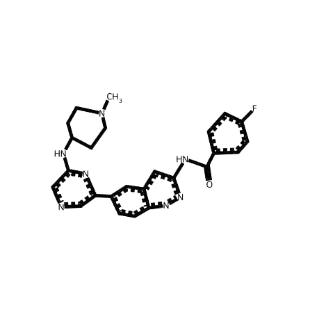 CN1CCC(Nc2cncc(-c3ccc4nnc(NC(=O)c5ccc(F)cc5)cc4c3)n2)CC1